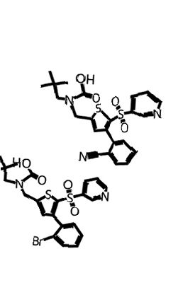 CC(C)(C)CN(Cc1cc(-c2ccccc2Br)c(S(=O)(=O)c2cccnc2)s1)C(=O)O.CC(C)(C)CN(Cc1cc(-c2ccccc2C#N)c(S(=O)(=O)c2cccnc2)s1)C(=O)O